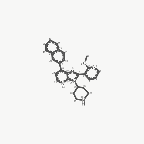 COc1ncccc1-c1nc2c(-c3ccc4ccccc4c3)ccnc2n1C1CCNCC1